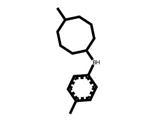 Cc1ccc(BC2CCCC(C)CCC2)cc1